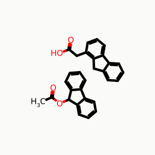 CC(=O)OC1c2ccccc2-c2ccccc21.O=C(O)Cc1cccc2c1Cc1ccccc1-2